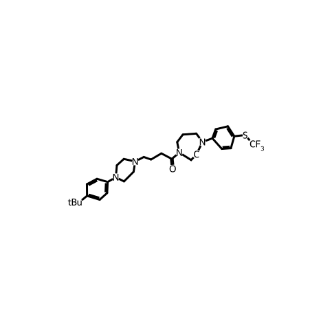 CC(C)(C)c1ccc(N2CCN(CCCC(=O)N3CCCN(c4ccc(SC(F)(F)F)cc4)CC3)CC2)cc1